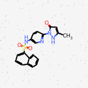 Cc1cc(=O)n(-c2ccc(NS(=O)(=O)c3cccc4ccccc34)cn2)[nH]1